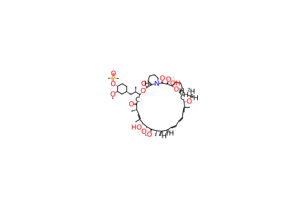 [2H]C([2H])([2H])O[C@H]1C[C@@H]2CC[C@@H](C)[C@@](O)(O2)C(=O)C(=O)N2CCCC[C@H]2C(=O)O[C@H]([C@H](C)C[C@@H]2CC[C@@H](OP(C)(C)=O)[C@H](OC)C2)CC(=O)[C@H](C)/C=C(\C)[C@@H](O)[C@@H](OC)C(=O)[C@H](C)C([2H])(C)[C@]([2H])(C)/C=C/C=C/C=C/1C